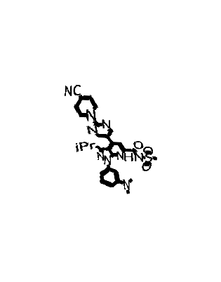 CC(C)c1nn(-c2cccc(N(C)C)c2)c2nc(C(=O)NS(C)(=O)=O)cc(-c3cnc(N4CCC(C#N)CC4)nc3)c12